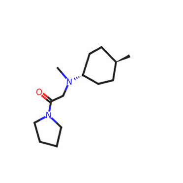 CN(CC(=O)N1CCCC1)[C@H]1CC[C@H](C)CC1